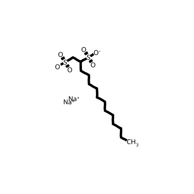 CCCCCCCCCCCCC(CS(=O)(=O)[O-])S(=O)(=O)[O-].[Na+].[Na+]